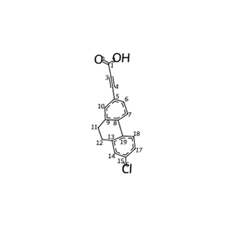 O=C(O)C#Cc1ccc2c(c1)CCc1cc(Cl)ccc1-2